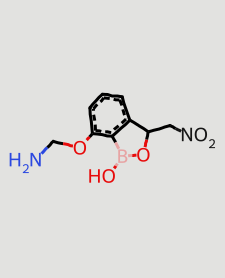 NCOc1cccc2c1B(O)OC2C[N+](=O)[O-]